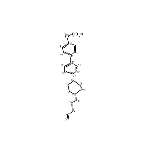 C=CCCC[C@H]1CC[C@H](c2ccc(-c3ccc(OC(=O)O)cc3)cc2)CC1